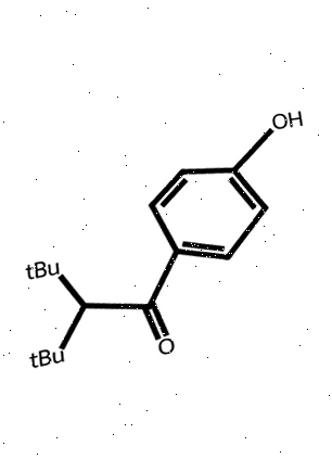 CC(C)(C)C(C(=O)c1ccc(O)cc1)C(C)(C)C